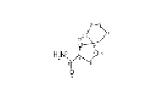 NC(=O)C1COC2(CC[CH]CC2)O1